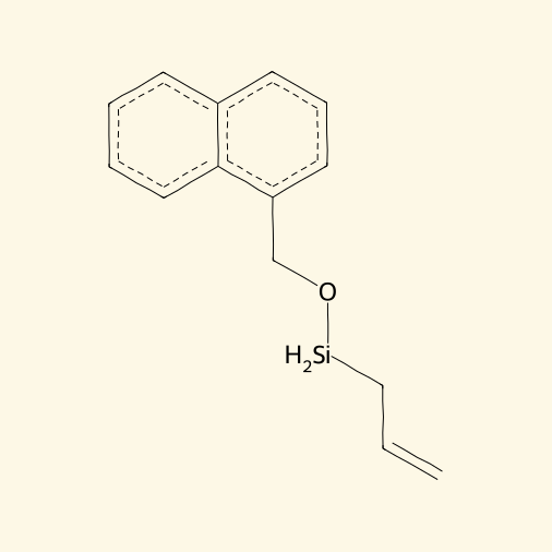 C=CC[SiH2]OCc1cccc2ccccc12